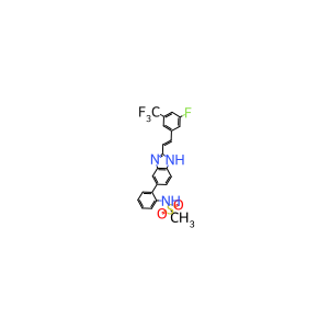 CS(=O)(=O)Nc1ccccc1-c1ccc2[nH]c(C=Cc3cc(F)cc(C(F)(F)F)c3)nc2c1